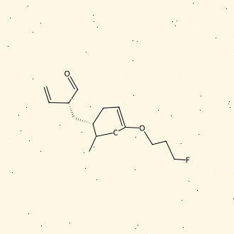 C=C[C@H](C=O)C[C@@H]1CC=C(OCCCF)CC1C